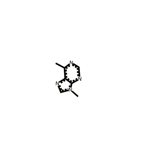 Cc1ncnc2c1ncn2C